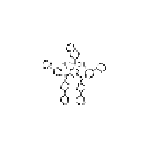 CC(C)(c1cc(N(c2ccc(-c3ccccc3)cc2)c2ccc(-c3ccccc3)cc2)cc(N(c2ccc(-c3ccccc3)cc2)c2ccc(-c3ccccc3)cc2)c1)c1ccc2ccccc2c1